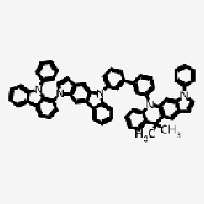 CC1(C)c2ccccc2N(c2cccc(-c3cccc(-n4c5ccccc5c5cc6c(ccn6-c6cccc7c8ccccc8n(-c8ccccc8)c67)cc54)c3)c2)c2cc3c(ccn3-c3ccccc3)cc21